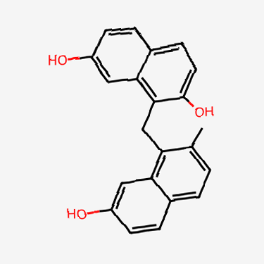 Cc1ccc2ccc(O)cc2c1Cc1c(O)ccc2ccc(O)cc12